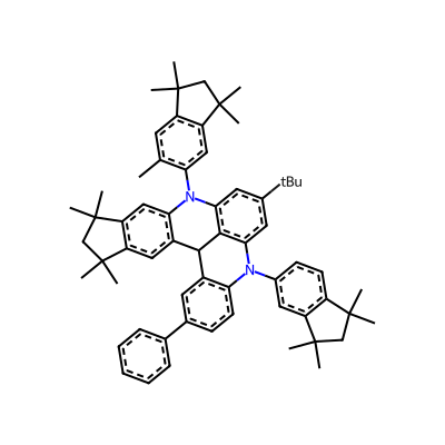 Cc1cc2c(cc1N1c3cc4c(cc3C3c5cc(-c6ccccc6)ccc5N(c5ccc6c(c5)C(C)(C)CC6(C)C)c5cc(C(C)(C)C)cc1c53)C(C)(C)CC4(C)C)C(C)(C)CC2(C)C